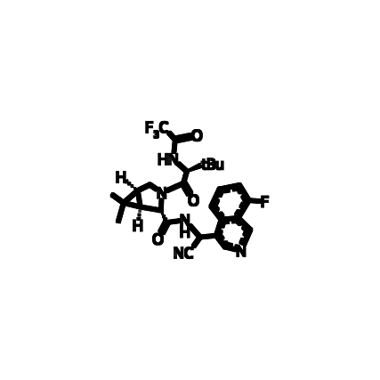 CC(C)(C)[C@H](NC(=O)C(F)(F)F)C(=O)N1C[C@H]2[C@@H]([C@H]1C(=O)NC(C#N)c1cncc3c(F)cccc13)C2(C)C